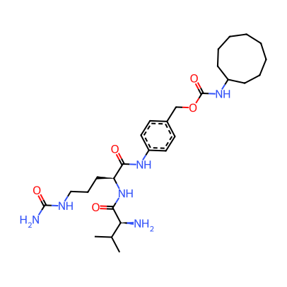 CC(C)[C@H](N)C(=O)N[C@@H](CCCNC(N)=O)C(=O)Nc1ccc(COC(=O)NC2CCCCCCCC2)cc1